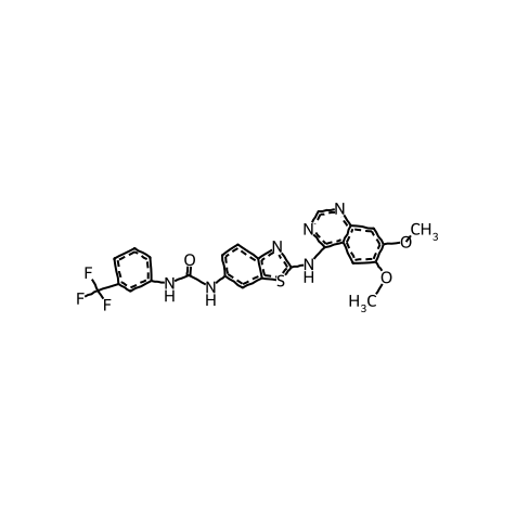 COc1cc2ncnc(Nc3nc4ccc(NC(=O)Nc5cccc(C(F)(F)F)c5)cc4s3)c2cc1OC